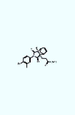 COC(=O)CC[C@@]12C(=O)N(c3ccc(Br)c(C)c3)C(=O)[C@@H]1C1C=CC2C1